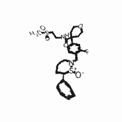 CS(=O)(=O)CCNC(=O)C1(c2ccc(CN3CCC[C@H](c4ccccc4)[S+]3[O-])c(F)c2)CCOCC1